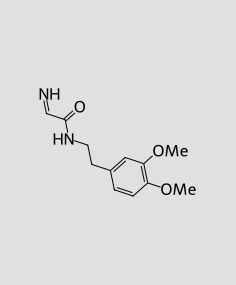 COc1ccc(CCNC(=O)C=N)cc1OC